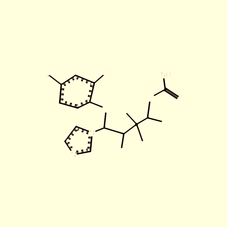 CC(C(Oc1ccc(Cl)cc1Cl)n1ccnc1)C(C)(C)C(Cl)OC(N)=O